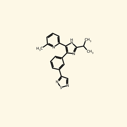 Cc1cccc(-c2[nH]c(C(C)C)nc2-c2cccc(-c3cnsn3)c2)n1